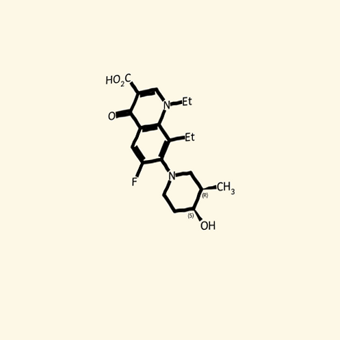 CCc1c(N2CC[C@H](O)[C@H](C)C2)c(F)cc2c(=O)c(C(=O)O)cn(CC)c12